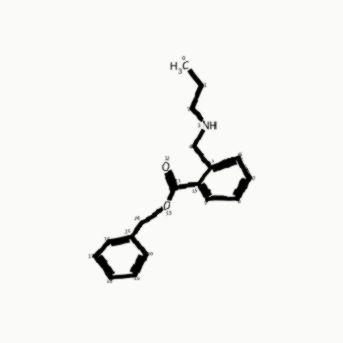 CCCNCc1ccccc1C(=O)OCc1ccccc1